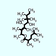 CC[C@H](C)C(C)(C)[C@@H](O)[C@@H](O)/C(C)=C(\C)C(C)OC(=O)C(C)[C@@H](C)CC(C)C